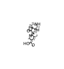 Cc1cc(C(=O)O)cnc1N1C[C@@H]2CNCC[C@]2(F)C1=O